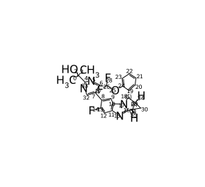 CC(C)(O)c1ncc(-c2cc3c(cc2F)nc2n3[C@H](c3ccccc3OC(F)F)[C@@H]3C[C@H]23)cn1